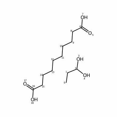 CCC(O)O.O=C(O)CCCCCCCCC(=O)O